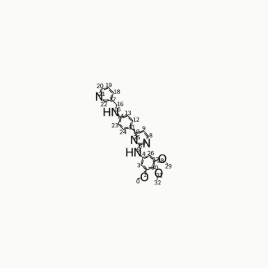 COc1cc(Nc2nccc(-c3ccc(NCc4cccnc4)cc3)n2)cc(OC)c1OC